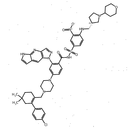 CC1(C)CCC(CN2CCN(c3ccc(C(=O)NS(=O)(=O)c4ccc(NC[C@@H]5CCN(C6CCOCC6)C5)c([N+](=O)[O-])c4)c(-n4ncc5nc6[nH]ccc6cc54)c3)CC2)=C(c2ccc(Cl)cc2)C1